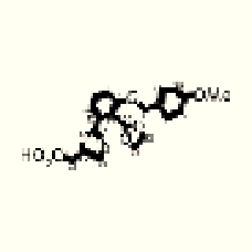 COc1ccc(COc2cccc(-c3ncc(CC(=O)O)s3)c2C2OCCO2)cc1